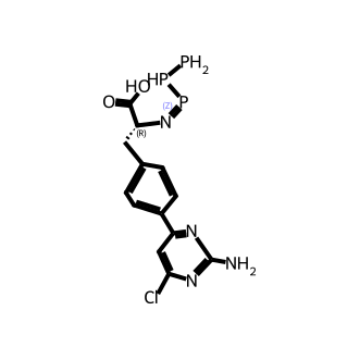 Nc1nc(Cl)cc(-c2ccc(C[C@@H](/N=P\PP)C(=O)O)cc2)n1